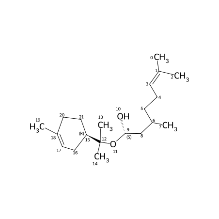 CC(C)=CCCC(C)C[C@@H](O)OC(C)(C)[C@H]1CC=C(C)CC1